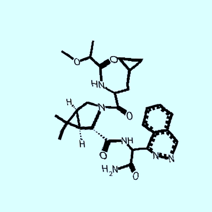 COC(C)C(=O)NC(CC1CC1)C(=O)N1C[C@H]2[C@@H]([C@H]1C(=O)NC(C(N)=O)c1nncc3ccccc13)C2(C)C